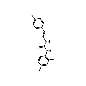 Cc1ccc(/C=N/NC(=O)Nc2ccc(C)cc2C)cc1